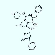 CC(C)CN(C[C@H](O)[C@H](Cc1ccccc1)NC(=O)O[C@H]1CCOC1)C(=O)C1CN(c2ccccc2)C(=O)O1